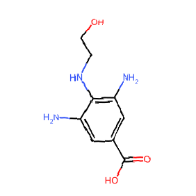 Nc1cc(C(=O)O)cc(N)c1NCCO